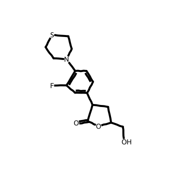 O=C1OC(CO)CC1c1ccc(N2CCSCC2)c(F)c1